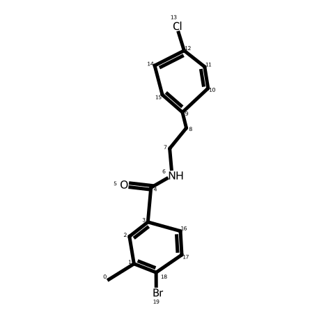 Cc1cc(C(=O)NCCc2ccc(Cl)cc2)ccc1Br